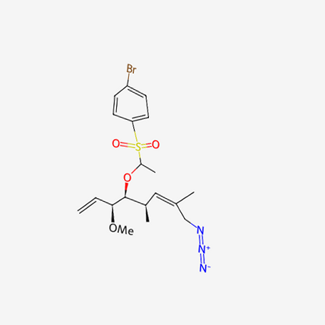 C=C[C@H](OC)[C@@H](OC(C)S(=O)(=O)c1ccc(Br)cc1)[C@H](C)/C=C(/C)CN=[N+]=[N-]